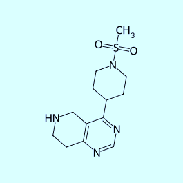 CS(=O)(=O)N1CCC(c2ncnc3c2CNCC3)CC1